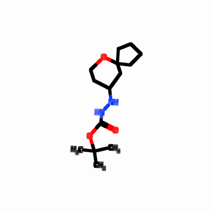 CC(C)(C)OC(=O)NNC1CCOC2(CCCC2)C1